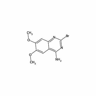 COc1cc2nc(Br)nc(N)c2cc1OC